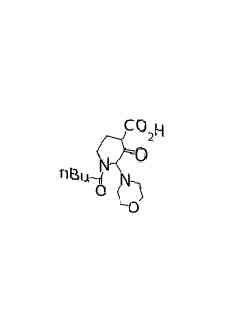 CCCCC(=O)N1CCC(C(=O)O)C(=O)C1N1CCOCC1